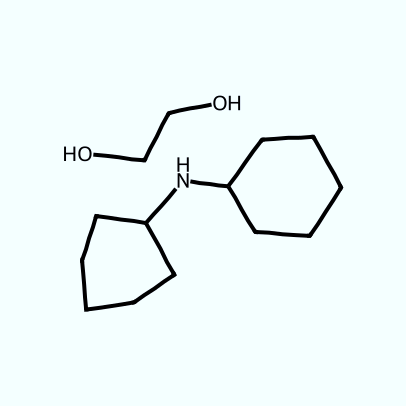 C1CCC(NC2CCCCC2)CC1.OCCO